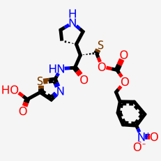 O=C(OCc1ccc([N+](=O)[O-])cc1)OC(=S)[C@H](C(=O)Nc1ncc(C(=O)O)s1)[C@@H]1CCNC1